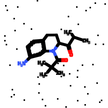 CC(C)C(=O)C1CCc2ccc(N)cc2N1C(=O)C(C)(C)C